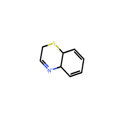 C1=CC2[N+]=CCSC2C=C1